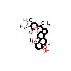 C[C@H](C1C[C@@H](C)[C@H](C)C(=O)O1)C1CCC2C3C[C@H]4O[C@]45[C@@H](O)C=CC(=O)[C@]5(C)C3CC[C@@]21C